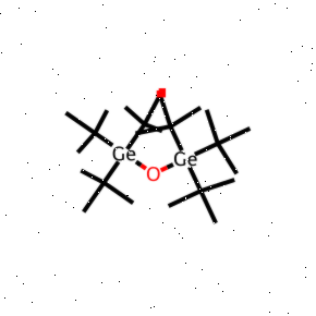 C[C](C)(C)[Ge]([O][Ge]([C](C)(C)C)([C](C)(C)C)[C](C)(C)C)([C](C)(C)C)[C](C)(C)C